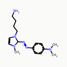 CN(C)c1ccc(/N=N/C2N(C)C=CN2CCCCN)cc1